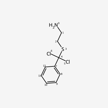 NCCSC(Cl)(Cl)c1ccccc1